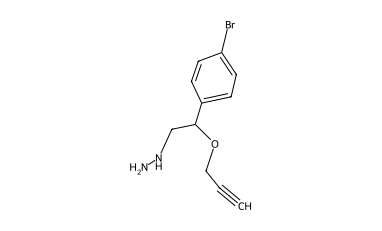 C#CCOC(CNN)c1ccc(Br)cc1